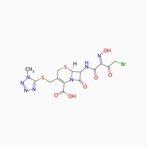 Cn1nnnc1SCC1=C(C(=O)O)N2C(=O)C(NC(=O)C(=NO)C(=O)CBr)[C@@H]2SC1